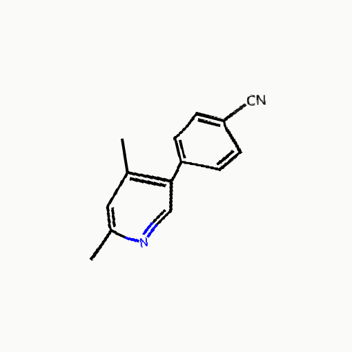 Cc1cc(C)c(-c2ccc(C#N)cc2)cn1